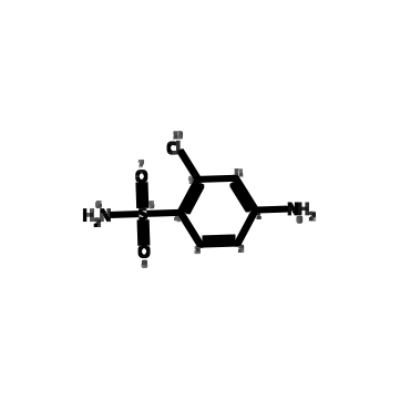 Nc1ccc(S(N)(=O)=O)c(Cl)c1